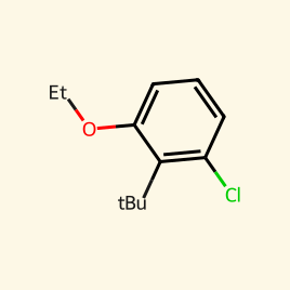 CCOc1cccc(Cl)c1C(C)(C)C